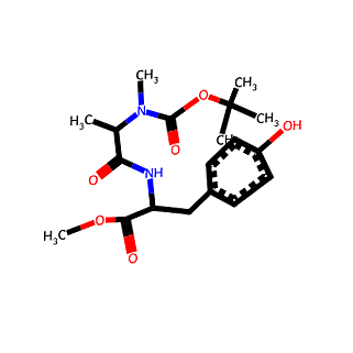 COC(=O)C(Cc1ccc(O)cc1)NC(=O)C(C)N(C)C(=O)OC(C)(C)C